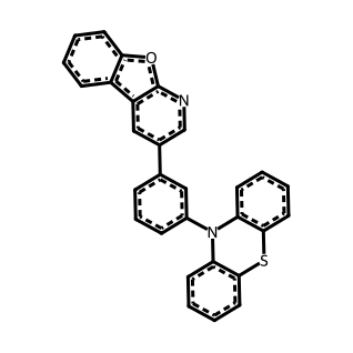 c1cc(-c2cnc3oc4ccccc4c3c2)cc(N2c3ccccc3Sc3ccccc32)c1